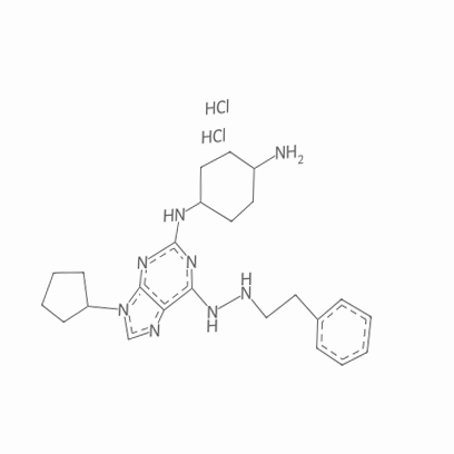 Cl.Cl.NC1CCC(Nc2nc(NNCCc3ccccc3)c3ncn(C4CCCC4)c3n2)CC1